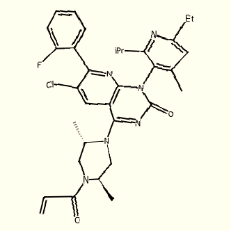 C=CC(=O)N1C[C@H](C)N(c2nc(=O)n(-c3c(C)cc(CC)nc3C(C)C)c3nc(-c4ccccc4F)c(Cl)cc23)C[C@H]1C